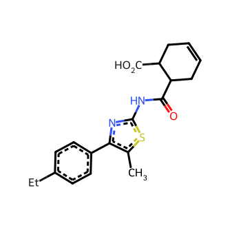 CCc1ccc(-c2nc(NC(=O)C3CC=CCC3C(=O)O)sc2C)cc1